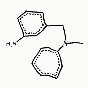 CN(Cc1cccc(N)c1)c1ccccc1